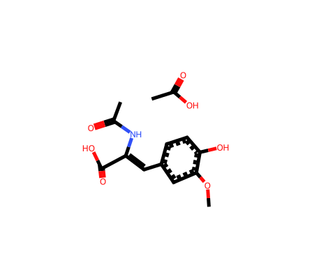 CC(=O)O.COc1cc(/C=C(\NC(C)=O)C(=O)O)ccc1O